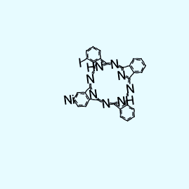 Ic1cccc2c3nc4nc(nc5[nH]c(nc6nc(nc([nH]3)c12)-c1ccccc1-6)c1ccccc51)-c1ccccc1-4.[Ni]